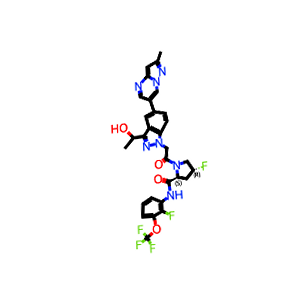 Cc1cc2ncc(-c3ccc4c(c3)c(C(C)O)nn4CC(=O)N3C[C@H](F)C[C@H]3C(=O)Nc3cccc(OC(F)(F)F)c3F)cn2n1